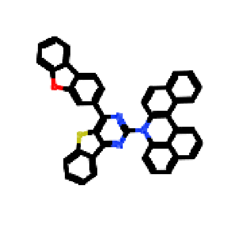 c1ccc2c3c(ccc2c1)N(c1nc(-c2ccc4c(c2)oc2ccccc24)c2sc4ccccc4c2n1)c1cccc2cccc-3c12